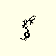 CCCCCCC(c1nc(C)c2c(=O)[nH]c(Cc3ccc(OC)cc3)nn12)C(C)O